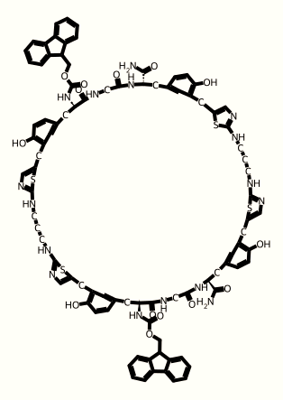 NC(=O)[C@@H]1Cc2ccc(O)c(c2)Cc2cnc(s2)NCCCNc2ncc(s2)Cc2cc(ccc2O)C[C@@H](C(N)=O)NC(=O)CNC(=O)[C@@H](NC(=O)OCC2c3ccccc3-c3ccccc32)Cc2ccc(O)c(c2)Cc2cnc(s2)NCCCNc2ncc(s2)Cc2cc(ccc2O)C[C@H](NC(=O)OCC2c3ccccc3-c3ccccc32)C(=O)NCC(=O)N1